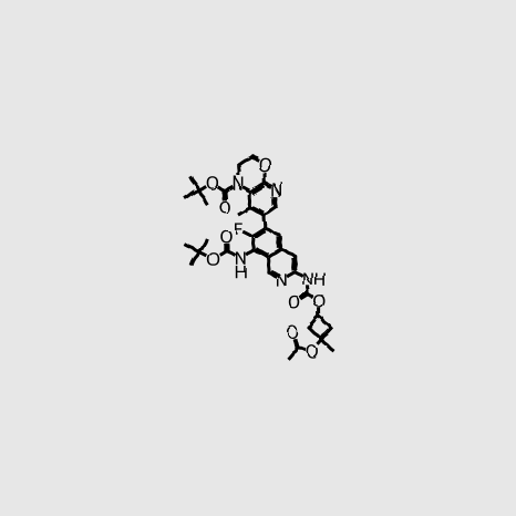 CC(=O)OC1(C)CC(OC(=O)Nc2cc3cc(-c4cnc5c(c4C)N(C(=O)OC(C)(C)C)CCO5)c(F)c(NC(=O)OC(C)(C)C)c3cn2)C1